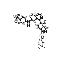 C[Si](C)(C)CCOCn1ncc2c(Cl)c(-c3nccc4cnc(Nc5ccc(S(C)(=O)=O)cc5)cc34)ccc21